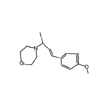 COc1ccc(/C=C/C(C)N2CCOCC2)cc1